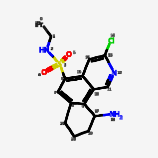 CC(C)CNS(=O)(=O)c1cc2c(c3cnc(Cl)cc13)C(N)CCC2